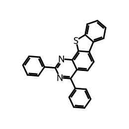 c1ccc(-c2nc(-c3ccccc3)c3ccc4c5ccccc5sc4c3n2)cc1